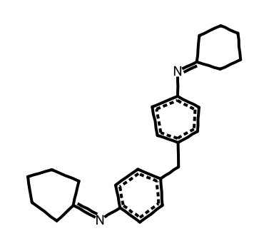 c1cc(N=C2CCCCC2)ccc1Cc1ccc(N=C2CCCCC2)cc1